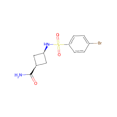 NC(=O)[C@H]1C[C@@H](NS(=O)(=O)c2ccc(Br)cc2)C1